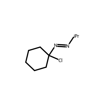 CC(C)/N=N/C1(Cl)CCCCC1